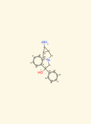 NC1C2CN(CC(O)(c3ccccc3)c3ccccc3)CC12